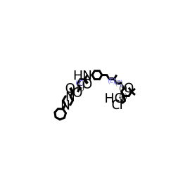 CC(/C=C/[C@@H]1C[C@](O)(CCl)CC(C)(C)O1)=C\CC1CCC(NC(=O)/C=C\[C@H](C)OC(=O)N2CCN(C3CCCCCC3)CC2)CC1